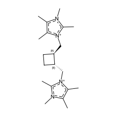 Cc1c(C)[n+](C[C@@H]2CC[C@H]2C[n+]2c(C)c(C)n(C)c2C)c(C)n1C